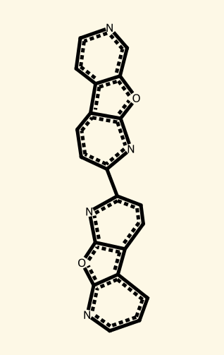 c1cnc2oc3nc(-c4ccc5c(n4)oc4cnccc45)ccc3c2c1